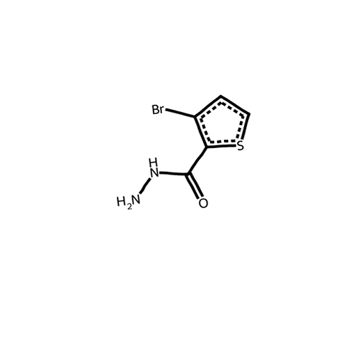 NNC(=O)c1sccc1Br